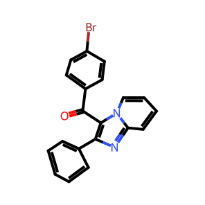 O=C(c1ccc(Br)cc1)c1c(-c2ccccc2)nc2ccccn12